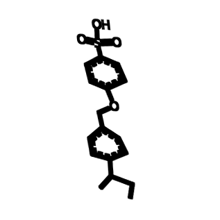 CCC(C)c1ccc(COc2ccc(S(=O)(=O)O)cc2)cc1